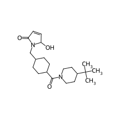 CC(C)(C)C1CCN(C(=O)C2CCC(CN3C(=O)C=CC3O)CC2)CC1